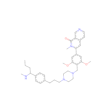 CCCC(NC)c1ccc(CCCN2CCN(Cc3c(OC)cc(-c4cc5ccncc5c(=O)n4C)cc3OC)CC2)cc1